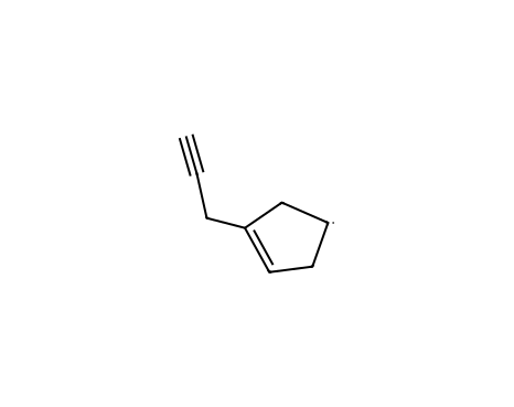 C#CCC1=CC[CH]C1